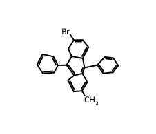 Cc1ccc2c(c1)=C(c1ccccc1)C1=CC=C(Br)CC1C=2c1ccccc1